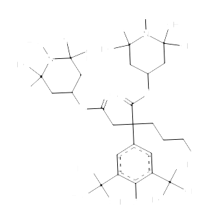 CCCCC(CC(=O)OC1CC(C)(C)N(C)C(C)(C)C1)(C(=O)OC1CC(C)(C)N(C)C(C)(C)C1)c1cc(C(C)(C)C)c(O)c(C(C)(C)C)c1